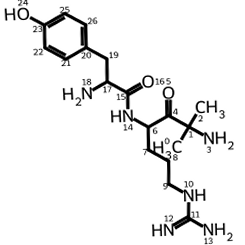 CC(C)(N)C(=O)C(CCCNC(=N)N)NC(=O)C(N)Cc1ccc(O)cc1